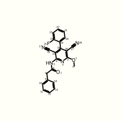 COc1nc(NC(=O)Cc2ccccc2)c(C#N)c(-c2ccccc2F)c1C#N